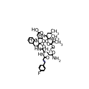 COC(=O)[C@H](C)NC(=O)[C@H](CC(C)C)NC(=O)[C@H](CC(=O)O)N(C)C(=O)[C@H](CC1CCCCC1)NC(=O)[C@H](CCC(N)=O)NC(=O)/C=C/c1ccc(F)cc1